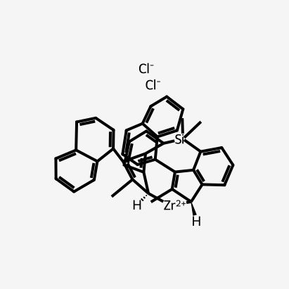 CC1=C(c2cccc3ccccc23)c2c3cccc2[Si](C)(C)c2cccc4c2C(c2cccc5ccccc25)=C(C)[C@@H]4[Zr+2][C@H]13.[Cl-].[Cl-]